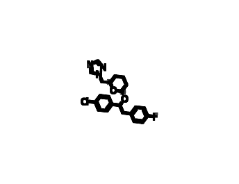 Fc1ccc(CC(O[C@H]2CCC[C@H](Cn3cncn3)O2)c2ccc(Cl)cc2)cc1